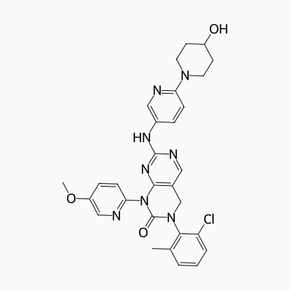 COc1ccc(N2C(=O)N(c3c(C)cccc3Cl)Cc3cnc(Nc4ccc(N5CCC(O)CC5)nc4)nc32)nc1